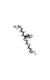 Cl.Cl.NCCOCCOC(=O)CCCSN